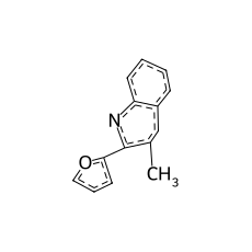 Cc1cc2ccccc2nc1-c1ccco1